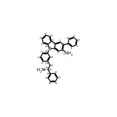 Nc1cc2c(cc1-c1ccccc1)c1ccccc1n2-c1cccc(C[C@@H](N)c2ccccc2)c1